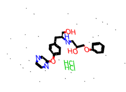 Cl.Cl.OC[C@H](Cc1ccc(Oc2cnccn2)cc1)NC[C@H](O)COc1ccccc1